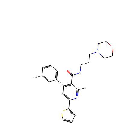 CCc1nc(-c2cccs2)cc(-c2cccc([N+](=O)[O-])c2)c1C(=O)NCCCN1CCOCC1.Cl.Cl